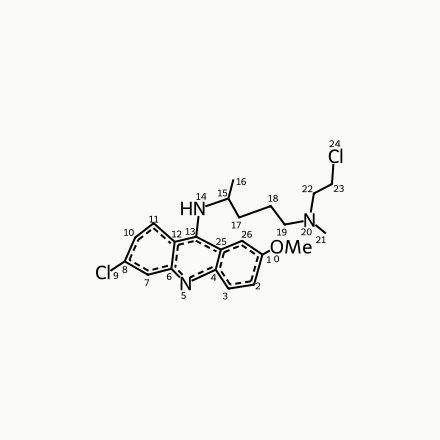 COc1ccc2nc3cc(Cl)ccc3c(NC(C)CCCN(C)CCCl)c2c1